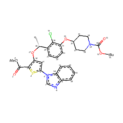 COC(=O)c1sc(-n2cnc3ccccc32)cc1O[C@H](C)c1cccc(OC2CCN(C(=O)OC(C)(C)C)CC2)c1Cl